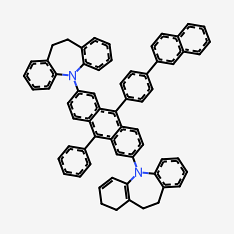 C1=CC2=C(CC1)CCc1ccccc1N2c1ccc2c(-c3ccc(-c4ccc5ccccc5c4)cc3)c3cc(N4c5ccccc5CCc5ccccc54)ccc3c(-c3ccccc3)c2c1